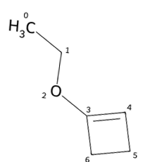 CCOC1=CCC1